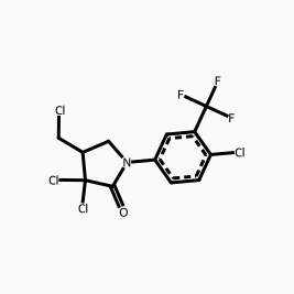 O=C1N(c2ccc(Cl)c(C(F)(F)F)c2)CC(CCl)C1(Cl)Cl